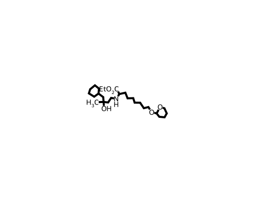 CCOC(=O)C(CCCCCCCOC1CCCCO1)NCCC(C)(O)CC1CCCCC1